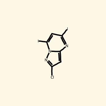 Clc1cc2nc(I)cc(I)n2n1